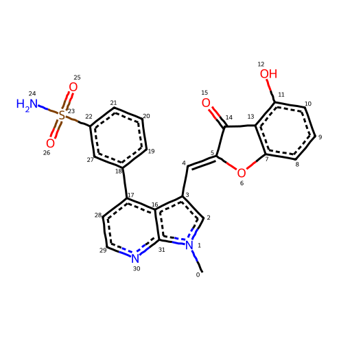 Cn1cc(C=C2Oc3cccc(O)c3C2=O)c2c(-c3cccc(S(N)(=O)=O)c3)ccnc21